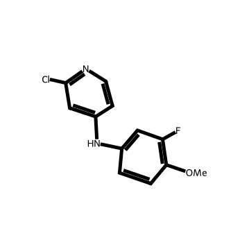 COc1ccc(Nc2ccnc(Cl)c2)cc1F